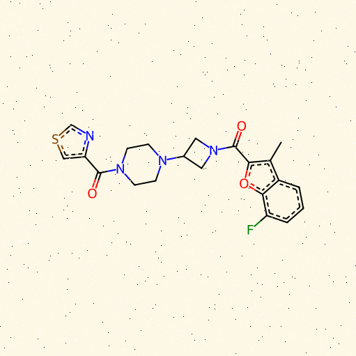 Cc1c(C(=O)N2CC(N3CCN(C(=O)c4cscn4)CC3)C2)oc2c(F)cccc12